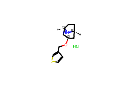 Cl.c1cc(CO[C@H]2C[C@H]3CC[C@@H](C2)N3)cs1